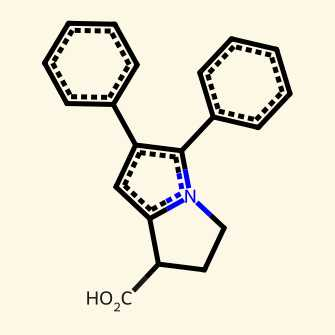 O=C(O)C1CCn2c1cc(-c1ccccc1)c2-c1ccccc1